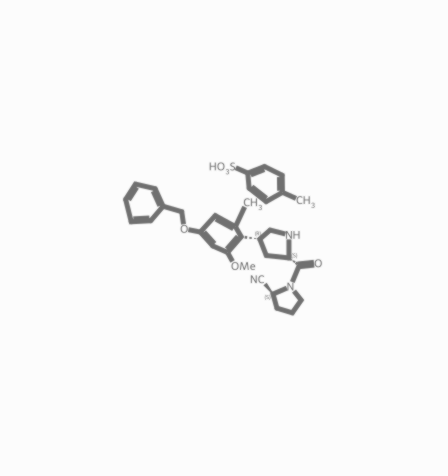 COc1cc(OCc2ccccc2)cc(C)c1[C@@H]1CN[C@H](C(=O)N2CCC[C@H]2C#N)C1.Cc1ccc(S(=O)(=O)O)cc1